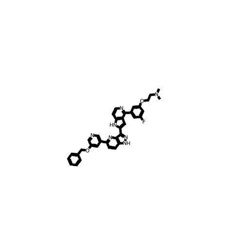 CN(C)CCOc1cc(F)cc(-c2nccc3[nH]c(-c4n[nH]c5ccc(-c6cncc(OCc7ccccc7)c6)nc45)cc23)c1